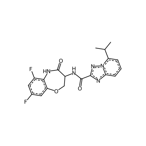 CC(C)c1cccc2nc(C(=O)NC3COc4cc(F)cc(F)c4NC3=O)nn12